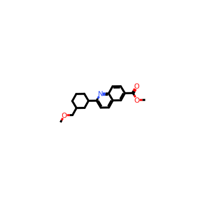 COCC1CCCC(c2ccc3cc(C(=O)OC)ccc3n2)C1